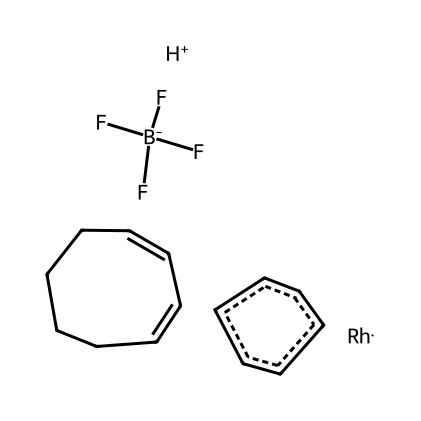 C1=CCCCCC=C1.F[B-](F)(F)F.[H+].[Rh].c1ccccc1